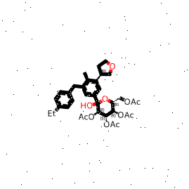 CCc1ccc(Cc2cc(C3(O)O[C@H](COC(C)=O)[C@@H](OC(C)=O)[C@H](OC(C)=O)[C@H]3OC(C)=O)cc([C@H]3CCOC3)c2C)cc1